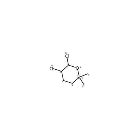 C[Si]1(C)CCC(Cl)C(Cl)O1